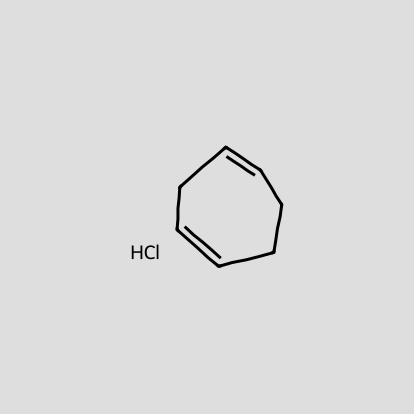 C1=CCCC=CC1.Cl